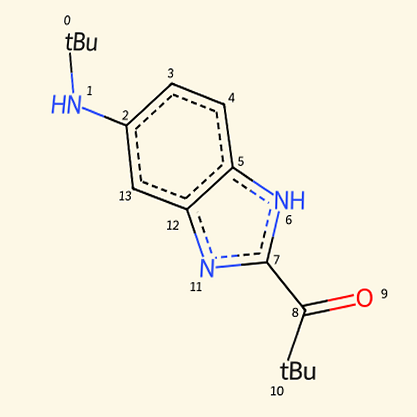 CC(C)(C)Nc1ccc2[nH]c(C(=O)C(C)(C)C)nc2c1